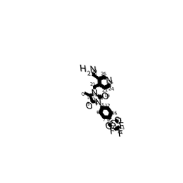 CC1C(=O)N(c2ccc(S(=O)(=O)C(F)(F)F)cc2)C(=O)N1Cc1ccncc1CN